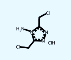 Cl.Nn1c(CCl)nnc1CCl